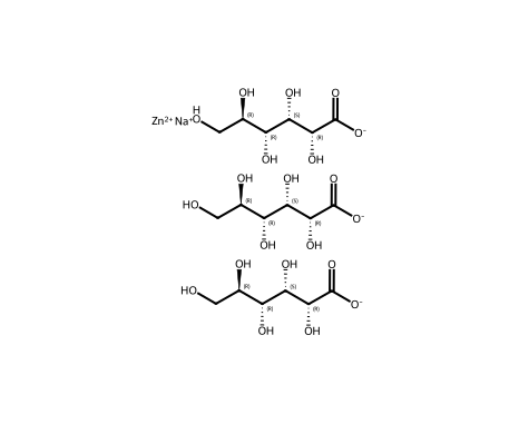 O=C([O-])[C@H](O)[C@@H](O)[C@H](O)[C@H](O)CO.O=C([O-])[C@H](O)[C@@H](O)[C@H](O)[C@H](O)CO.O=C([O-])[C@H](O)[C@@H](O)[C@H](O)[C@H](O)CO.[Na+].[Zn+2]